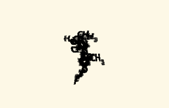 COc1cc(OCCCF)ccc1COc1cnn(C(C)(C)C)c(=O)c1Cl